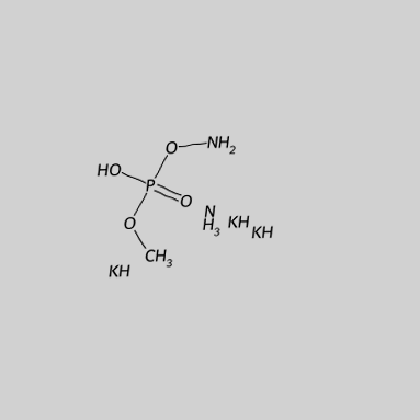 COP(=O)(O)ON.N.[KH].[KH].[KH]